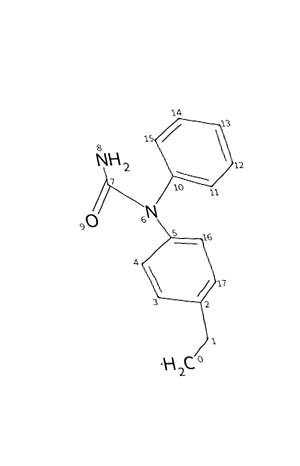 [CH2]Cc1ccc(N(C(N)=O)c2ccccc2)cc1